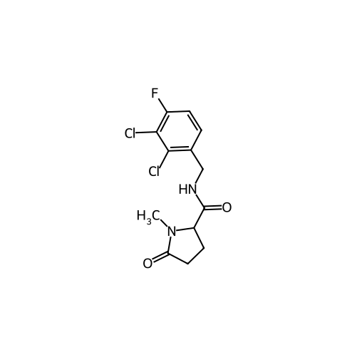 CN1C(=O)CCC1C(=O)NCc1ccc(F)c(Cl)c1Cl